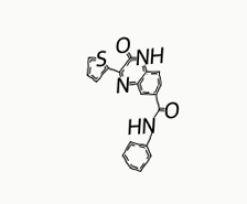 O=C(NCc1ccccc1)c1ccc2[nH]c(=O)c(-c3cccs3)nc2c1